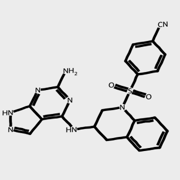 N#Cc1ccc(S(=O)(=O)N2CC(Nc3nc(N)nc4[nH]ncc34)Cc3ccccc32)cc1